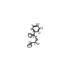 CC(C=O)SC(=O)c1ccccc1